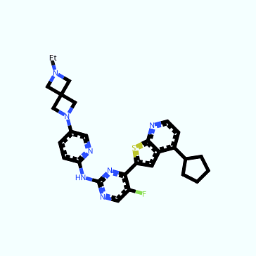 CCN1CC2(C1)CN(c1ccc(Nc3ncc(F)c(-c4cc5c(C6CCCC6)ccnc5s4)n3)nc1)C2